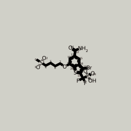 CS(=O)(=O)CCCCOc1cc(C(N)=O)cc2c(Br)c(C(F)(F)P(=O)(O)O)sc12